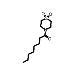 CCCCCCCC(=O)N1CCS(=O)(=O)CC1